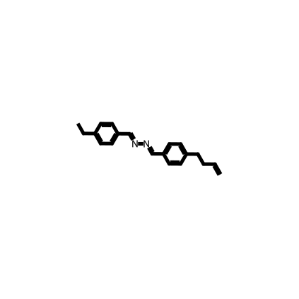 C=CCCc1ccc(/C=N/N=C/c2ccc(CC)cc2)cc1